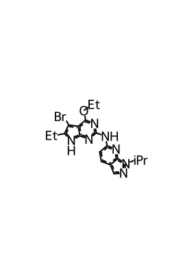 CCOc1nc(Nc2ccc3cnn(C(C)C)c3n2)nc2[nH]c(CC)c(Br)c12